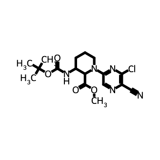 COC(=O)C1C(NC(=O)OC(C)(C)C)CCCN1c1cnc(C#N)c(Cl)n1